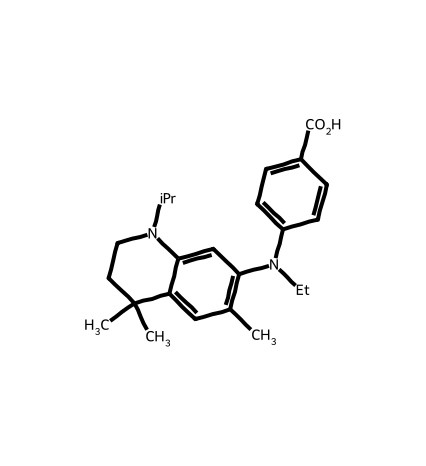 CCN(c1ccc(C(=O)O)cc1)c1cc2c(cc1C)C(C)(C)CCN2C(C)C